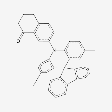 Cc1ccc2c(c1)C1(c3ccccc3-c3ccccc31)c1cc(C)ccc1N2c1ccc2c(c1)C(=O)CCC2